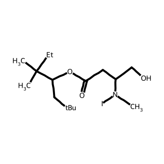 CCC(C)(C)C(CC(C)(C)C)OC(=O)CC(CO)N(C)I